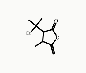 C=C1OC(=O)C(C(C)(C)CC)C1C